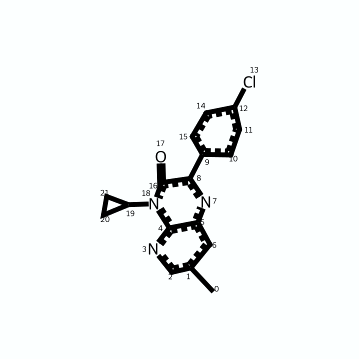 Cc1cnc2c(c1)nc(-c1ccc(Cl)cc1)c(=O)n2C1CC1